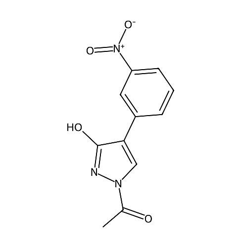 CC(=O)n1cc(-c2cccc([N+](=O)[O-])c2)c(O)n1